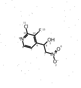 O=[N+]([O-])CC(O)c1ccnc(Cl)c1F